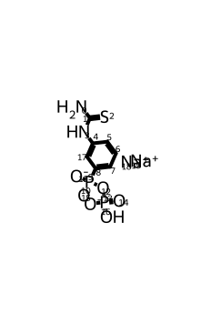 NC(=S)Nc1cccc(P(=O)([O-])OP(=O)([O-])O)c1.[Na+].[Na+]